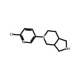 Clc1ccc(N2CCC3CNCC3C2)cn1